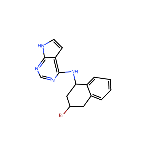 BrC1Cc2ccccc2C(Nc2ncnc3[nH]ccc23)C1